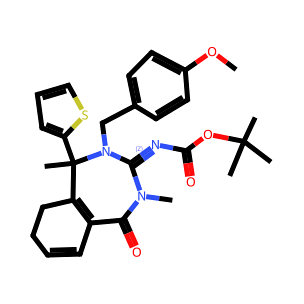 COc1ccc(CN2/C(=N/C(=O)OC(C)(C)C)N(C)C(=O)C3=C(CCC=C3)C2(C)c2cccs2)cc1